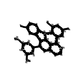 Cc1ccc2c(c1)c1c(-c3nc(C(C)(C)C)nc(C(C)(C)C)n3)cc3ccnc4c5cc(C)cc(C)c5n2c1c34